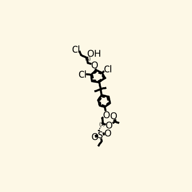 CCS(=O)(=O)C[C@H](COc1ccc(C(C)(C)c2cc(Cl)c(OC[C@H](O)CCl)c(Cl)c2)cc1)OC(C)=O